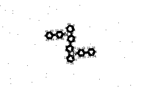 C1=CC2C3=C(CC(c4ccc5c6ccccc6n(-c6ccc(-c7ccccc7)cc6)c5c4)C=C3)N(c3ccc(-c4ccccc4)cc3)C2CC1